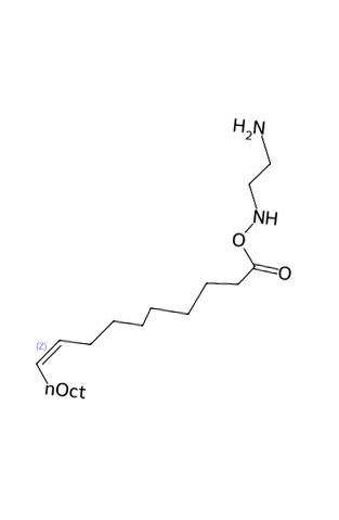 CCCCCCCC/C=C\CCCCCCCC(=O)ONCCN